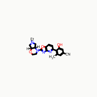 CCN1C[C@H]2OCCN(c3nc4nc(-c5c(C)cc(C#N)cc5O)ccc4o3)[C@H]2C1